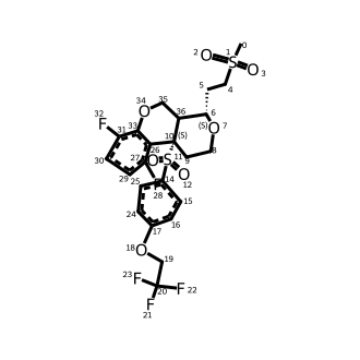 CS(=O)(=O)CC[C@@H]1OCC[C@@]2(S(=O)(=O)c3ccc(OCC(F)(F)F)cc3)c3c(F)ccc(F)c3OCC12